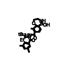 CCC(N(NC(=O)c1ccc2c(c1C)OCCNB2O)C(=O)c1cc(C)cc(C)c1)C(C)(C)C